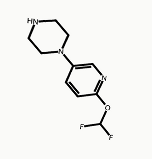 FC(F)Oc1ccc(N2CCNCC2)cn1